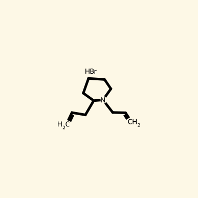 Br.C=CCC1CCCCN1CC=C